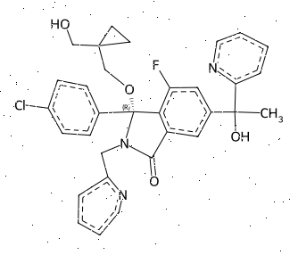 CC(O)(c1cc(F)c2c(c1)C(=O)N(Cc1ccccn1)[C@@]2(OCC1(CO)CC1)c1ccc(Cl)cc1)c1ccccn1